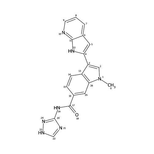 Cn1cc(-c2cc3cccnc3[nH]2)c2ccc(C(=O)Nc3nc[nH]n3)cc21